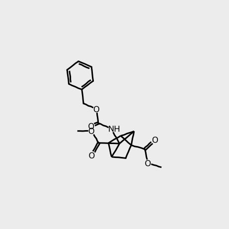 COC(=O)C12CC3CC1C2C3(NC(=O)OCc1ccccc1)C(=O)OC